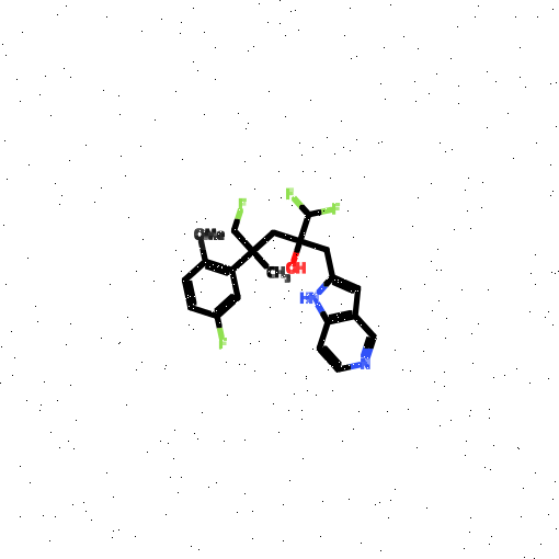 COc1ccc(F)cc1C(C)(CF)CC(O)(Cc1cc2cnccc2[nH]1)C(F)F